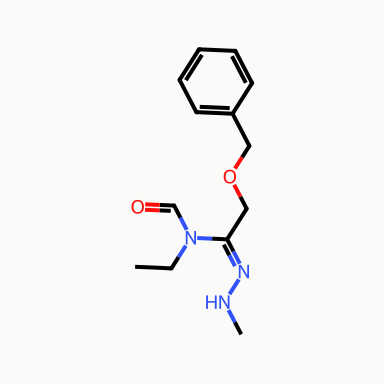 CCN(C=O)/C(COCc1ccccc1)=N\NC